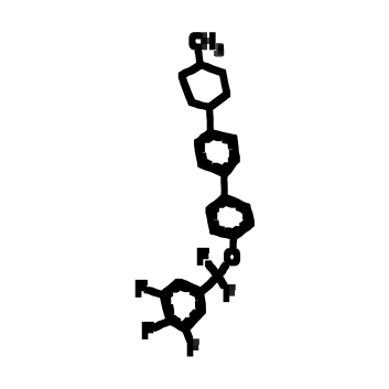 CC1CCC(c2ccc(-c3ccc(OC(F)(F)c4cc(F)c(F)c(F)c4)cc3)cc2)CC1